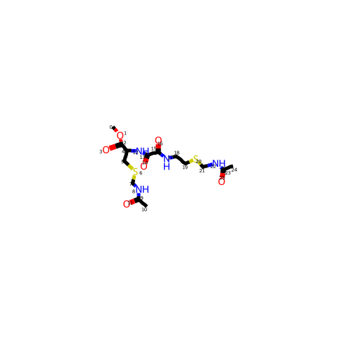 COC(=O)C(CSCNC(C)=O)NC(=O)C(=O)NCCSCNC(C)=O